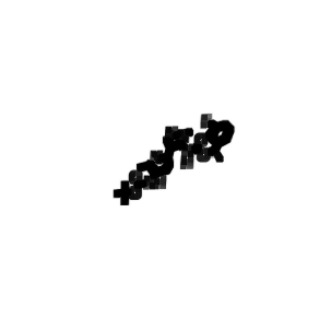 Cc1nc(-c2cnn(C)c2NC(=O)O[C@H](C)c2cccc(F)c2)ccc1NC(=O)OC(C)(C)C